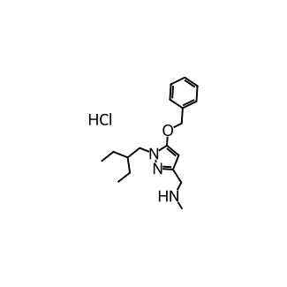 CCC(CC)Cn1nc(CNC)cc1OCc1ccccc1.Cl